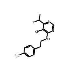 CC(F)c1ncnc(NCCc2ccc(C(F)(F)F)cc2)c1Cl